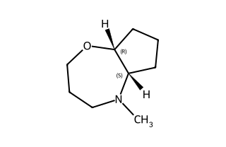 CN1CCCO[C@@H]2CCC[C@@H]21